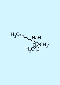 [CH2]C(CCCCCCCCCCCC)NC(=O)C=C.[NaH]